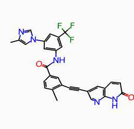 Cc1cn(-c2cc(NC(=O)c3ccc(C)c(C#Cc4cnc5[nH]c(=O)ccc5c4)c3)cc(C(F)(F)F)c2)cn1